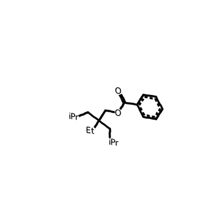 CCC(COC(=O)c1ccccc1)(CC(C)C)CC(C)C